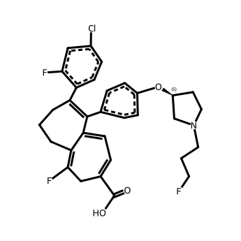 O=C(O)C1=CC=C2C(=C(F)C1)CCCC(c1ccc(Cl)cc1F)=C2c1ccc(O[C@H]2CCN(CCCF)C2)cc1